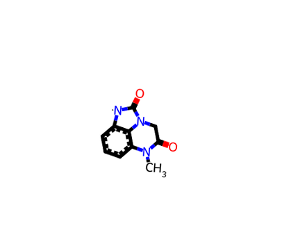 CN1C(=O)CN2C(=O)[N]c3cccc1c32